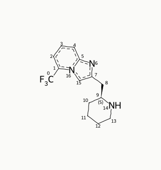 FC(F)(F)c1cccc2nc(C[C@@H]3CCCCN3)cn12